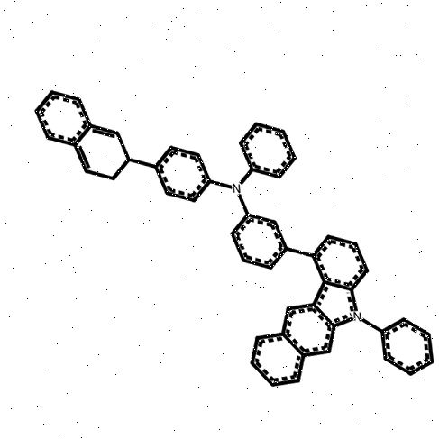 C1=c2ccccc2=CC(c2ccc(N(c3ccccc3)c3cccc(-c4cccc5c4c4cc6ccccc6cc4n5-c4ccccc4)c3)cc2)C1